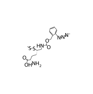 CSS[C@@H](CC[C@H](N)C(=O)O)CNC(=O)OCc1ccccc1N=[N+]=[N-]